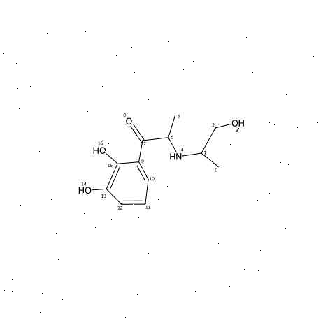 CC(CO)NC(C)C(=O)c1cccc(O)c1O